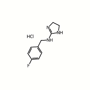 Cl.Fc1ccc(CNC2=NCCN2)cc1